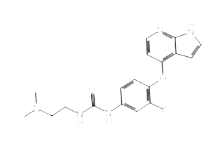 CN(C)CCNC(=O)Nc1ccc(Oc2ccnc3[nH]ccc23)c(F)c1